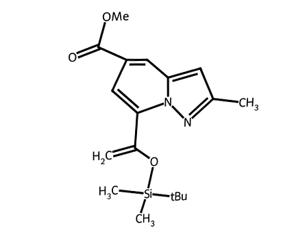 C=C(O[Si](C)(C)C(C)(C)C)c1cc(C(=O)OC)cc2cc(C)nn12